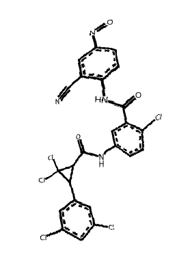 N#Cc1cc(N=O)ccc1NC(=O)c1cc(NC(=O)C2C(c3cc(Cl)cc(Cl)c3)C2(Cl)Cl)ccc1Cl